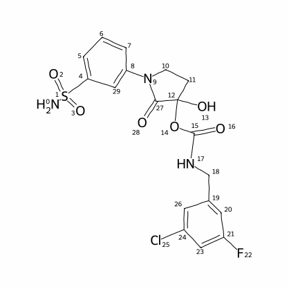 NS(=O)(=O)c1cccc(N2CCC(O)(OC(=O)NCc3cc(F)cc(Cl)c3)C2=O)c1